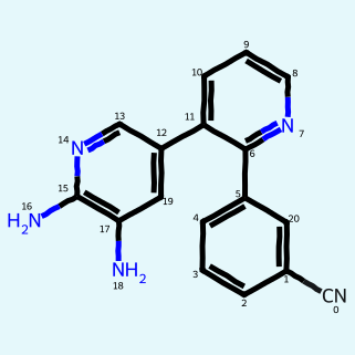 N#Cc1cccc(-c2ncccc2-c2cnc(N)c(N)c2)c1